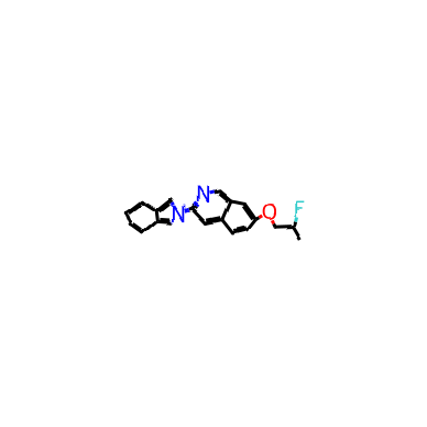 CC(F)COc1ccc2cc(-n3cc4ccccc4c3)ncc2c1